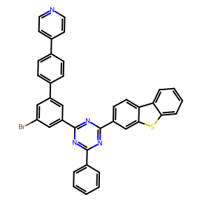 Brc1cc(-c2ccc(-c3ccncc3)cc2)cc(-c2nc(-c3ccccc3)nc(-c3ccc4c(c3)sc3ccccc34)n2)c1